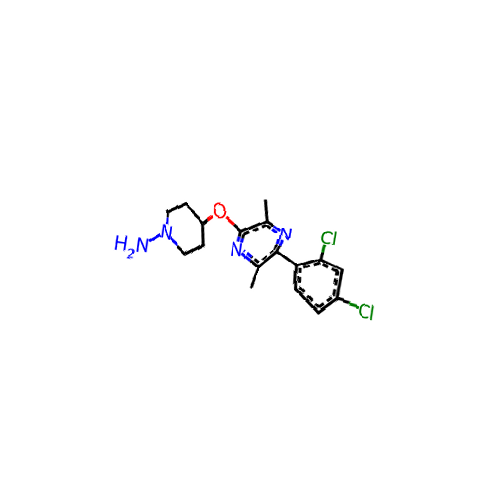 Cc1nc(-c2ccc(Cl)cc2Cl)c(C)nc1OC1CCN(N)CC1